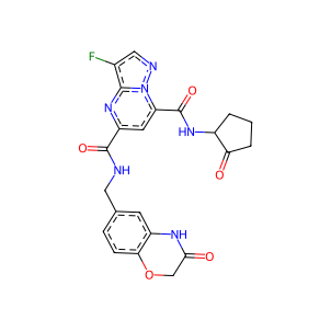 O=C1COc2ccc(CNC(=O)c3cc(C(=O)NC4CCCC4=O)n4ncc(F)c4n3)cc2N1